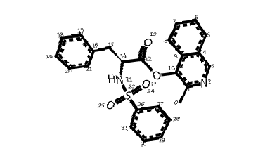 Cc1ncc2ccccc2c1OC(=O)[C@H](Cc1ccccc1)NS(=O)(=O)c1ccccc1